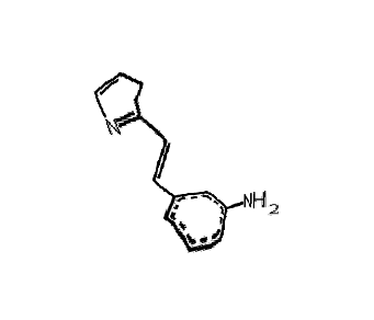 Nc1cccc(/C=C/C2=NC=CC2)c1